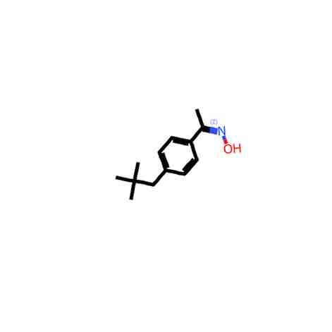 C/C(=N/O)c1ccc(CC(C)(C)C)cc1